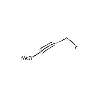 [CH2]OC#CCF